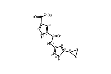 CCCCC(=O)c1c[nH]c(C(=O)Nc2cc(C3CC3)[nH]n2)c1